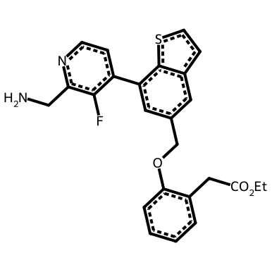 CCOC(=O)Cc1ccccc1OCc1cc(-c2ccnc(CN)c2F)c2sccc2c1